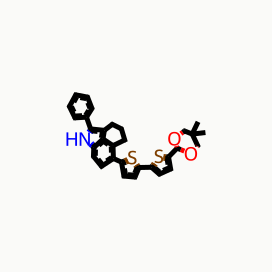 CC1(C)COC(c2ccc(-c3ccc(-c4ccc5[nH]c(-c6ccccc6)c6c5c4CCC6)s3)s2)OC1